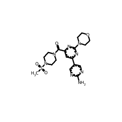 CS(=O)(=O)N1CCN(C(=O)c2cc(-c3cnc(N)nc3)nc(N3CCOCC3)n2)CC1